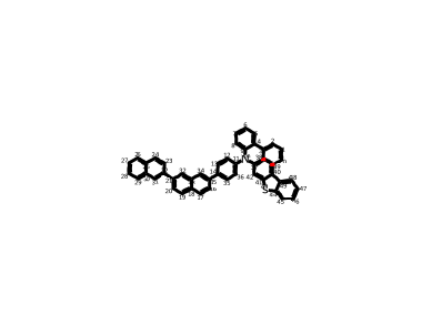 c1ccc(-c2ccccc2N(c2ccc(-c3ccc4ccc(-c5ccc6ccccc6c5)cc4c3)cc2)c2ccc3c(c2)sc2ccccc23)cc1